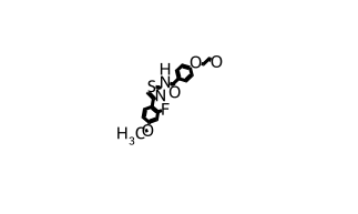 COc1ccc(-c2csc(NC(=O)c3ccc(OCC=O)cc3)n2)c(F)c1